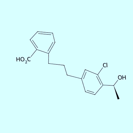 C[C@H](O)c1ccc(CCCc2ccccc2C(=O)O)cc1Cl